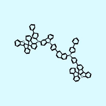 c1ccc(-c2ccc(N(c3ccc(-c4ccc5c(c4)C4(c6ccccc6-c6ccccc64)c4oc6ccccc6c4-5)cc3)c3ccc4ccc(-c5ccc(-n6c7ccccc7c7cc(N(c8ccc(-c9ccccc9)cc8)c8cccc9c8-c8ccccc8C98c9ccccc9-c9c8oc8ccccc98)ccc76)cc5)cc4c3)cc2)cc1